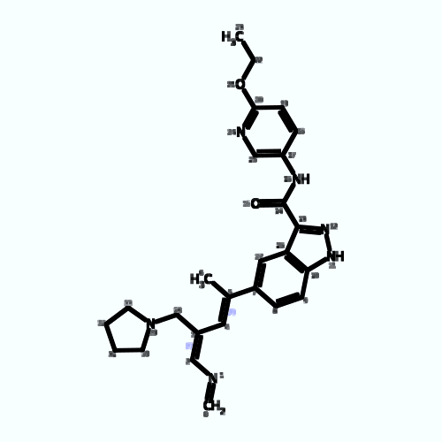 C=N/C=C(\C=C(/C)c1ccc2[nH]nc(C(=O)Nc3ccc(OCC)nc3)c2c1)CN1CCCC1